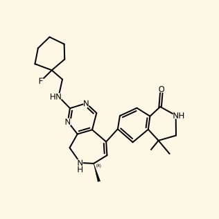 C[C@@H]1C=C(c2ccc3c(c2)C(C)(C)CNC3=O)c2cnc(NCC3(F)CCCCC3)nc2CN1